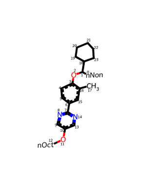 CCCCCCCCCC(Oc1ccc(-c2ncc(OCCCCCCCC)cn2)cc1C)C1CCCCC1